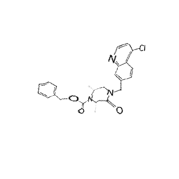 C[C@@H]1CN(Cc2ccc3c(Cl)ccnc3c2)C(=O)[C@H](C)N1C(=O)OCc1ccccc1